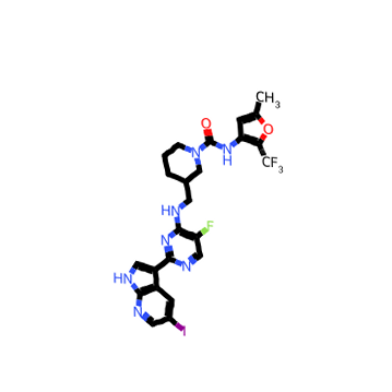 Cc1cc(NC(=O)N2CCCC(CNc3nc(-c4c[nH]c5ncc(I)cc45)ncc3F)C2)c(C(F)(F)F)o1